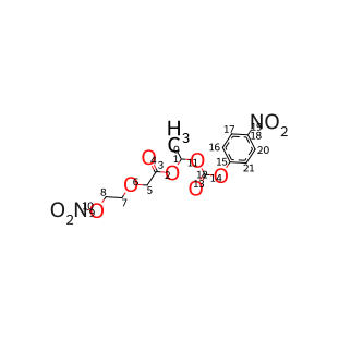 CC(OC(=O)COCCO[N+](=O)[O-])OC(=O)Oc1ccc([N+](=O)[O-])cc1